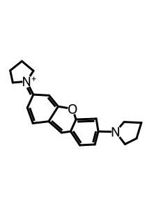 c1cc(=[N+]2CCCC2)cc2oc3cc(N4CCCC4)ccc3cc1-2